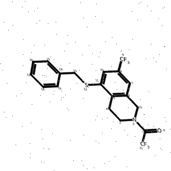 O=C(N1CCc2c(cc(C(F)(F)F)cc2SCc2ccccc2)C1)C(F)(F)F